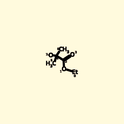 CCOC(=O)C(C)(C)[O]